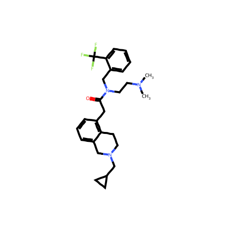 CN(C)CCN(Cc1ccccc1C(F)(F)F)C(=O)Cc1cccc2c1CCN(CC1CC1)C2